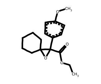 CCOC(=O)C1(c2ccc(OC)cc2)OC12CCCCC2